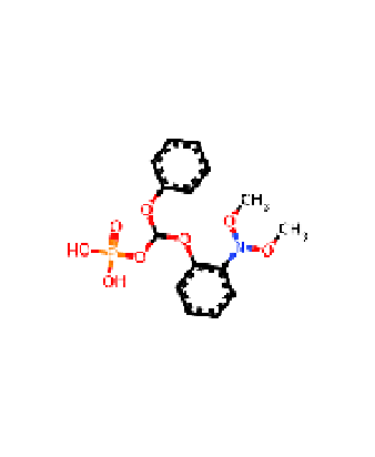 CON(OC)c1ccccc1OC(Oc1ccccc1)OP(=O)(O)O